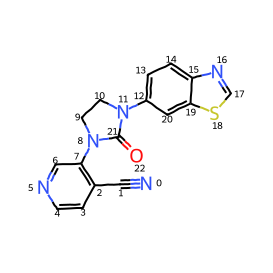 N#Cc1ccncc1N1CCN(c2ccc3ncsc3c2)C1=O